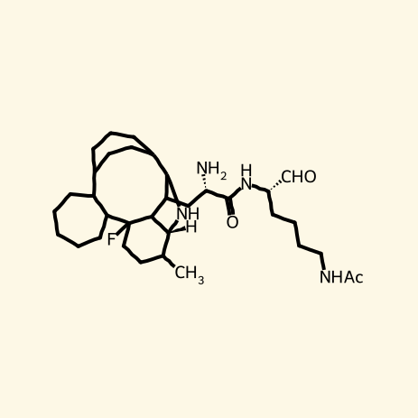 CC(=O)NCCCC[C@@H](C=O)NC(=O)[C@@H](N)CC1C2N[C@@H]3C(C)CCC(F)(C4CCCCCC4C4CCCC2CC4)C13